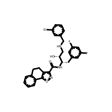 CCc1cccc(CNC[C@@H](O)[C@H](Cc2cc(F)cc(F)c2)NC(=O)c2noc3c2CCc2ccccc2-3)c1